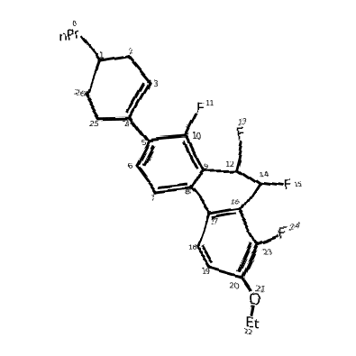 CCCC1CC=C(c2ccc3c(c2F)C(F)C(F)c2c-3ccc(OCC)c2F)CC1